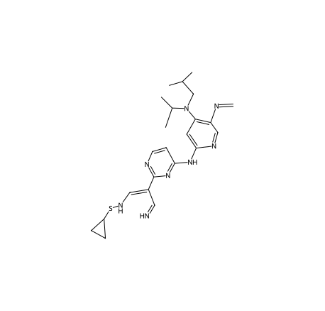 C=Nc1cnc(Nc2ccnc(/C(C=N)=C/NSC3CC3)n2)cc1N(CC(C)C)C(C)C